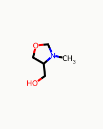 CN1COCC1CO